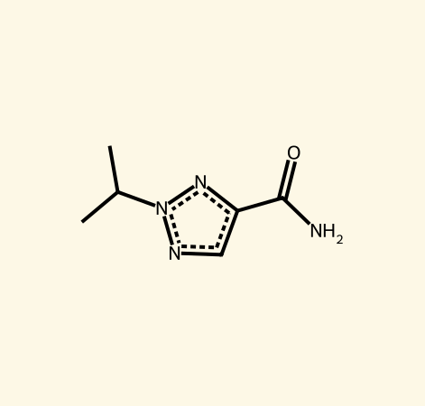 CC(C)n1ncc(C(N)=O)n1